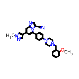 COc1ccccc1CN1CCN(c2ccc(-c3cc(-c4cnn(C)c4)cc4ncc(C#N)n34)cc2)CC1